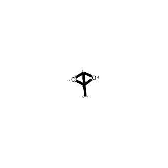 [CH2]C12OC1O2